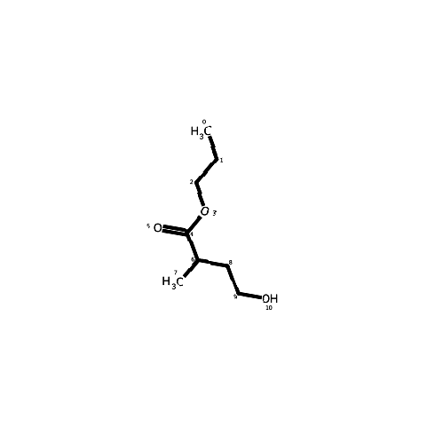 CCCOC(=O)C(C)CCO